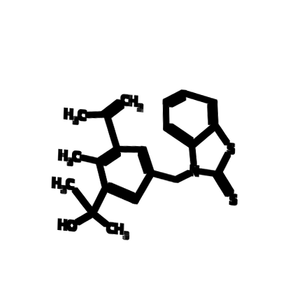 C=C(C)c1cc(Cn2c(=S)sc3ccccc32)cc(C(C)(C)O)c1C